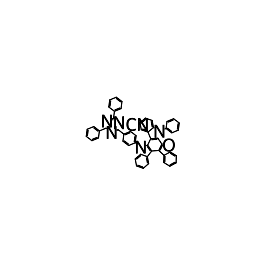 N#Cc1cc(-n2c3ccccc3c3c4c5ccccc5oc4c4c(c5ccccc5n4-c4ccccc4)c32)ccc1-c1nc(-c2ccccc2)nc(-c2ccccc2)n1